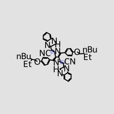 CCCCC(CC)COc1ccc(-c2[nH]/c(=C(/C#N)c3cnc4ccccc4n3)c3c(-c4ccc(OCC(CC)CCCC)cc4)[nH]/c(=C(/C#N)c4cnc5ccccc5n4)c23)cc1